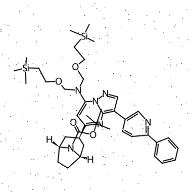 CC(C)(C)OC(=O)N1[C@@H]2CC[C@H]1C[C@H](c1cc(N(COCC[Si](C)(C)C)COCC[Si](C)(C)C)n3ncc(-c4ccc(-c5ccccc5)nc4)c3n1)C2